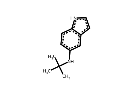 CC(C)(C)Nc1ccc2[nH]ccc2c1